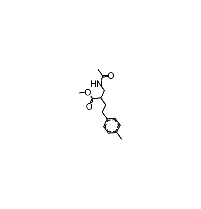 COC(=O)C(CCc1ccc(C)cc1)CNC(C)=O